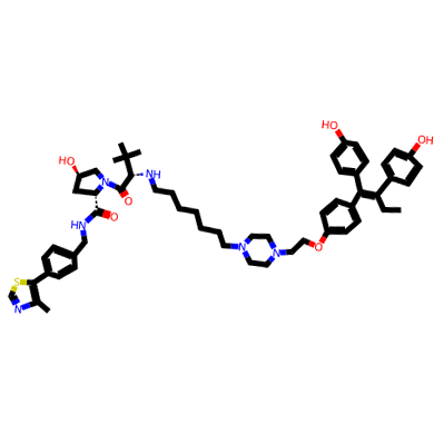 CCC(=C(c1ccc(O)cc1)c1ccc(OCCN2CCN(CCCCCCCN[C@H](C(=O)N3C[C@H](O)C[C@H]3C(=O)NCc3ccc(-c4scnc4C)cc3)C(C)(C)C)CC2)cc1)c1ccc(O)cc1